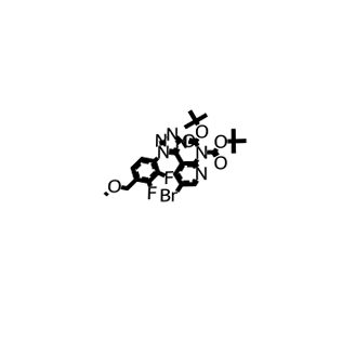 COCc1ccc(-n2nnnc2-c2cc(Br)cnc2N(C(=O)OC(C)(C)C)C(=O)OC(C)(C)C)c(F)c1F